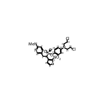 CNc1ccc(CC(c2ccsc2[N+](=O)[O-])S(=O)(=O)Oc2ccc(N(CCCl)CCCl)cc2)cn1